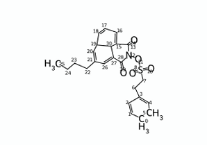 C/C=C\C(=C/C)CCS(=O)(=O)ON1C(=O)C2=CC=CC3C=C(CCCC)C=C(C1=O)C23